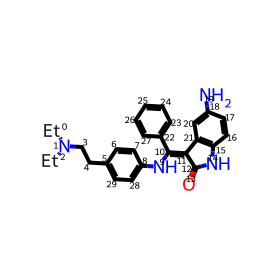 CCN(CC)CCc1ccc(N/C(=C2\C(=O)Nc3ccc(N)cc32)c2ccccc2)cc1